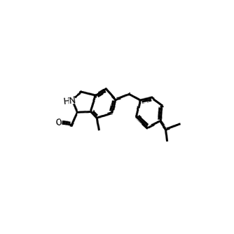 Cc1cc(Cc2ccc(C(C)C)cc2)cc2c1C(C=O)NC2